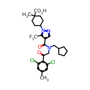 Cc1cc(Cl)c(C(=O)CN(CC2CCCC2)C(=O)c2cnn(C3CCC(C)(C(=O)O)CC3)c2C(F)(F)F)c(Cl)c1